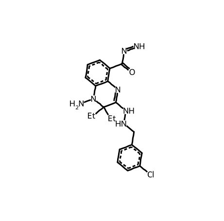 CCC1(CC)C(NNCc2cccc(Cl)c2)=Nc2c(C(=O)N=N)cccc2N1N